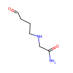 NC(=O)CNCCCC=O